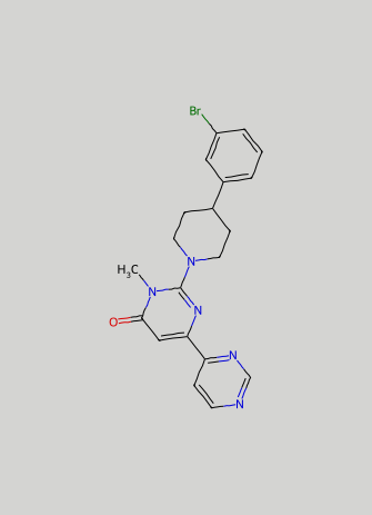 Cn1c(N2CCC(c3cccc(Br)c3)CC2)nc(-c2ccncn2)cc1=O